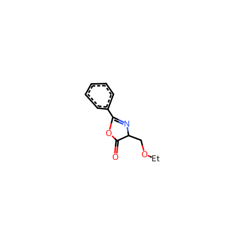 CCOCC1N=C(c2ccccc2)OC1=O